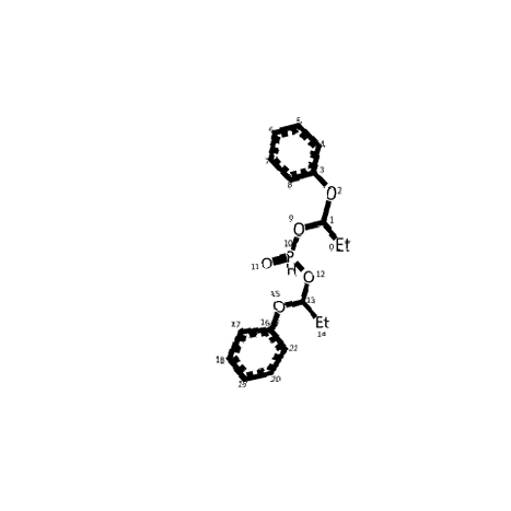 CCC(Oc1ccccc1)O[PH](=O)OC(CC)Oc1ccccc1